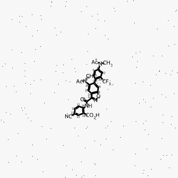 CC(=O)N(C)c1ccc(-c2cc3onc(C(=O)Nc4ccc(C#N)cc4C(=O)O)c3cc2N(C)C(C)=O)c(C(F)(F)F)c1